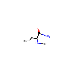 CCCCCCC(NC(C)C)C(N)=O